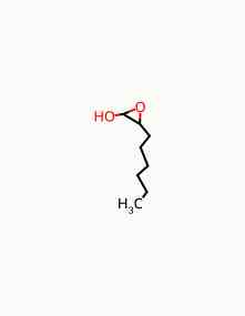 CCCCCCC1OC1O